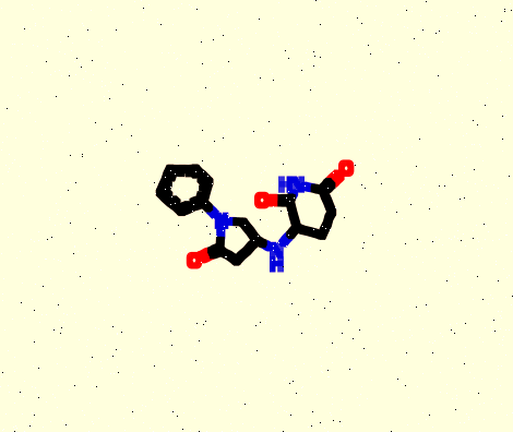 O=C1CCC(NC2CC(=O)N(c3ccccc3)C2)C(=O)N1